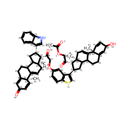 CC(=O)OCC(=O)[C@H]1[C@H](c2csc3ccc(OCC(=O)[C@H]4[C@@H](c5c[nH]c6ccccc56)CC5C6CCC7=CC(=O)C=C[C@]7(C)C6=CC[C@@]54C)cc23)CC2C3CCC4=CC(O)C=C[C@]4(C)C3=CC[C@@]21C